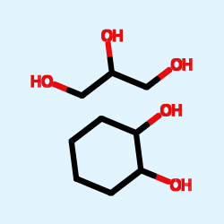 OC1CCCCC1O.OCC(O)CO